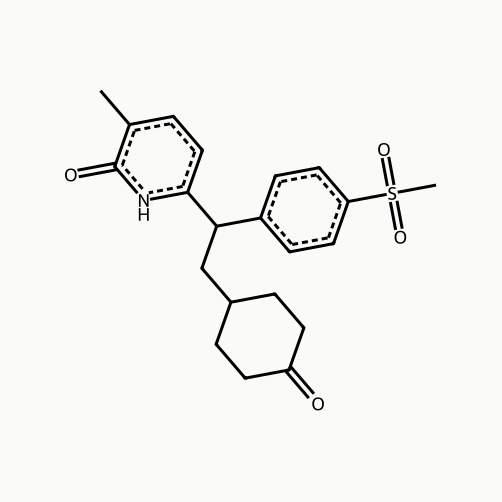 Cc1ccc(C(CC2CCC(=O)CC2)c2ccc(S(C)(=O)=O)cc2)[nH]c1=O